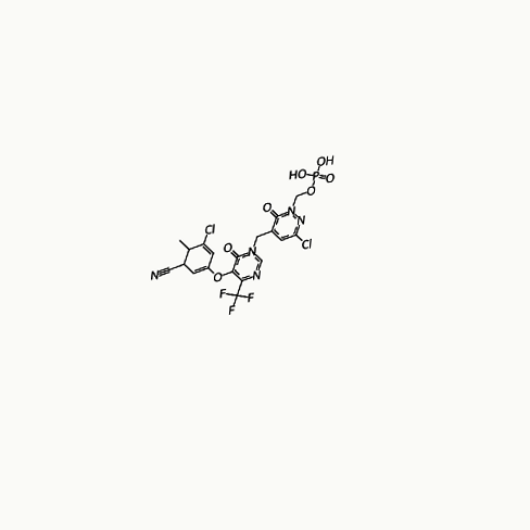 CC1C(Cl)=CC(Oc2c(C(F)(F)F)ncn(Cc3cc(Cl)nn(COP(=O)(O)O)c3=O)c2=O)=CC1C#N